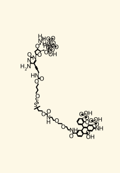 CC(C)(CCOC(=O)NCCOCCOCCNC(=O)c1ccc(C(=O)O)c(-c2c3ccc(=N)c(S(=O)(=O)O)c-3oc3c(S(=O)(=O)O)cccc23)c1)SSCOCCCCOC(=O)NCC#Cc1cn([C@H]2CC(OCN)[C@@H](COP(=O)(O)OP(=O)(O)OP(=O)(O)O)O2)c(=O)nc1N